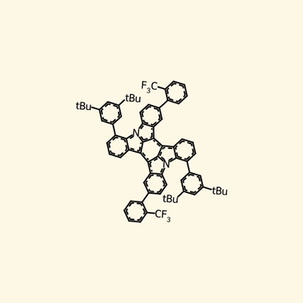 CC(C)(C)c1cc(-c2cccc3c4c5c6cc(-c7ccccc7C(F)(F)F)ccc6n6c7c(-c8cc(C(C)(C)C)cc(C(C)(C)C)c8)cccc7c(c7c8cc(-c9ccccc9C(F)(F)F)ccc8n(c23)c74)c56)cc(C(C)(C)C)c1